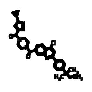 CC(C)(CN)c1ccc(-c2cc(Cl)c3ccc(C(=O)N4CCN(C(=O)C5=CC(C6CC6)N=N5)CC4)cc3n2)cc1